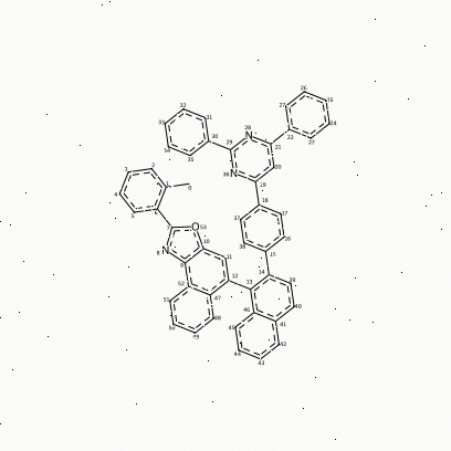 Cc1ccccc1-c1nc2c(cc(-c3c(-c4ccc(-c5cc(-c6ccccc6)nc(-c6ccccc6)n5)cc4)ccc4ccccc34)c3ccccc32)o1